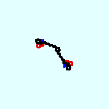 O=C1OC(C/C=C/CC/C=C/C2CCC(/C=C/CC/C=C/CC3=NC4(CCCCC4)C(=O)O3)C2)=NC12CCCCC2